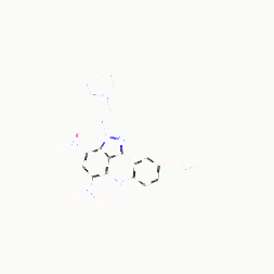 CCOc1ccc2c(c1)-c1nn(CCN(CC)CC)c3c([N+](=O)[O-])cc([N+](=O)[O-])c(c13)N2